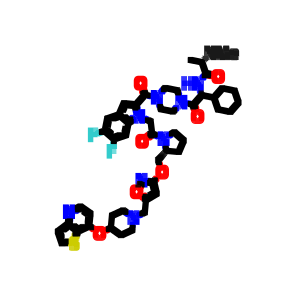 CN[C@@H](C)C(=O)N[C@H](C(=O)N1CCN(C(=O)c2cc3cc(F)c(F)cc3n2CC(=O)N2CCC[C@H]2COc2cc(CN3CCC(Oc4ccnc5ccsc45)CC3)on2)CC1)C1CCCCC1